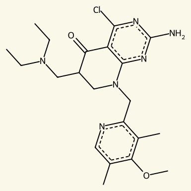 CCN(CC)CC1CN(Cc2ncc(C)c(OC)c2C)c2nc(N)nc(Cl)c2C1=O